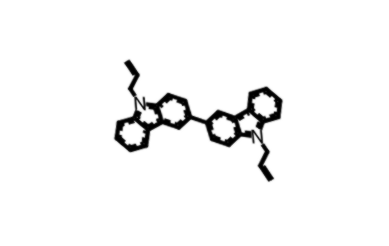 C=CCn1c2ccccc2c2cc(-c3ccc4c(c3)c3ccccc3n4CC=C)ccc21